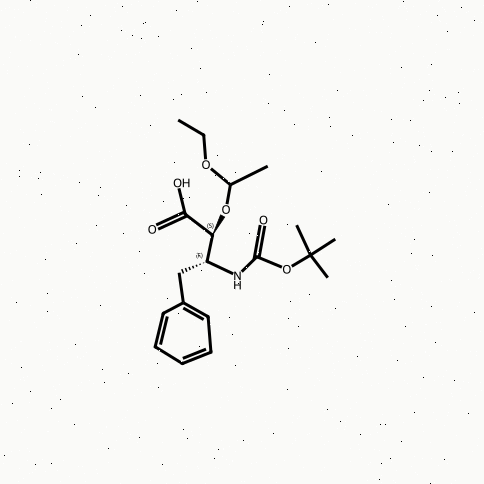 CCOC(C)O[C@H](C(=O)O)[C@@H](Cc1ccccc1)NC(=O)OC(C)(C)C